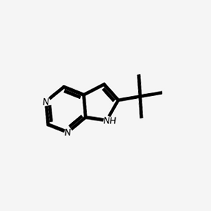 CC(C)(C)c1cc2cncnc2[nH]1